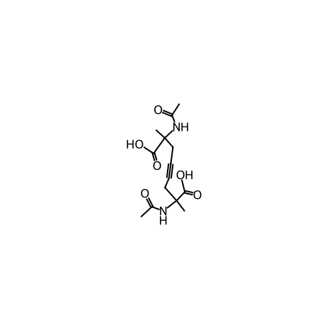 CC(=O)NC(C)(CC#CCC(C)(NC(C)=O)C(=O)O)C(=O)O